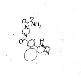 NC1(C(=O)N2CCN(C(=O)c3ccc(C4Nn5ccnc5CC45CCCCCCCCC5)cc3)CC2)CC1